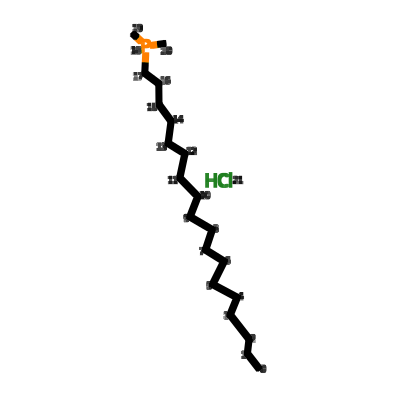 CCCCCCCCCCCCCCCCCCP(C)C.Cl